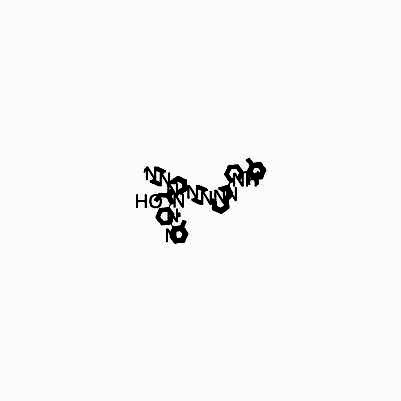 Cc1cccnc1[C@@H]1CCC[C@H](c2cn3c(N4CCN(c5ccc(N6CCN(C)CC6)n6c(CO)c([C@H]7CCC[C@@H](c8ncccc8C)N7C)nc56)CC4)cccc3n2)N1